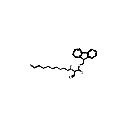 CCCCCCCCCCNC(C=O)C(=O)OCC1c2ccccc2-c2ccccc21